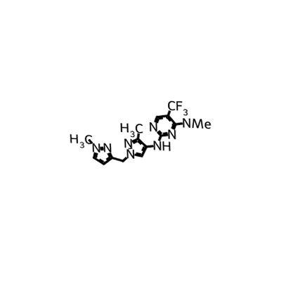 CNc1nc(Nc2cn(Cc3ccn(C)n3)nc2C)ncc1C(F)(F)F